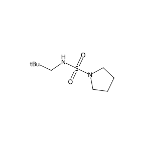 CC(C)(C)CNS(=O)(=O)N1CCCC1